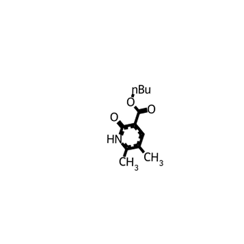 CCCCOC(=O)c1cc(C)c(C)[nH]c1=O